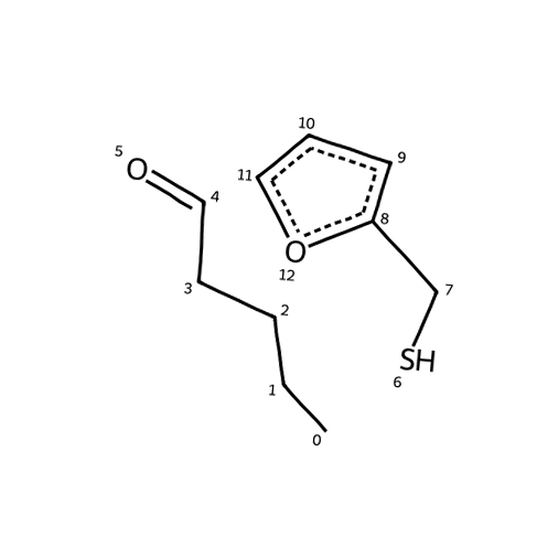 CCCCC=O.SCc1ccco1